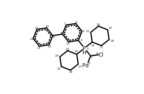 Cl[CH]([Pd])[PH](c1cccc(-c2ccccc2)c1)(C1CCCCC1)C1CCCCC1